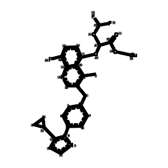 Cc1c(Cc2ccc(-n3nccc3C3CC3)cc2)cnc2c(F)ccc(OC(OC(F)F)C(=O)OC(C)(C)C)c12